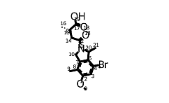 COc1cc(Br)c2c(c1C)CN(C(=O)C[C@H](C)C(=O)O)C2C